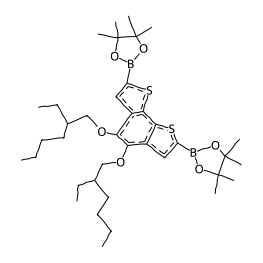 CCCCC(CC)COc1c(OCC(CC)CCCC)c2cc(B3OC(C)(C)C(C)(C)O3)sc2c2sc(B3OC(C)(C)C(C)(C)O3)cc12